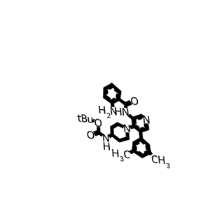 Cc1cc(C)cc(-c2cncc(NC(=O)c3ccccc3N)c2N2CCC(NC(=O)OC(C)(C)C)CC2)c1